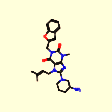 CC(C)=CCn1c(N2CCCC(N)C2)nc2c1c(=O)n(Cc1cc3ccccc3o1)c(=O)n2C